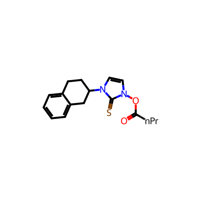 CCCC(=O)On1ccn(C2CCc3ccccc3C2)c1=S